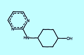 OC1CCC(Nc2ncccn2)CC1